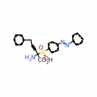 NC(C#CCc1ccccc1)(C(=O)O)S(=O)(=O)c1ccc(N=Nc2ccccc2)cc1